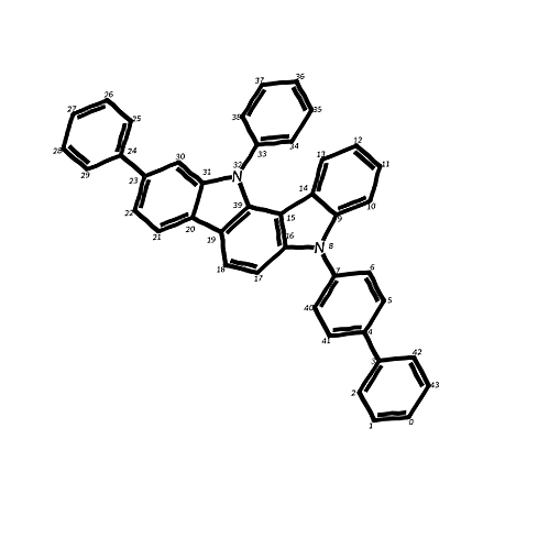 c1ccc(-c2ccc(-n3c4ccccc4c4c3ccc3c5ccc(-c6ccccc6)cc5n(-c5ccccc5)c34)cc2)cc1